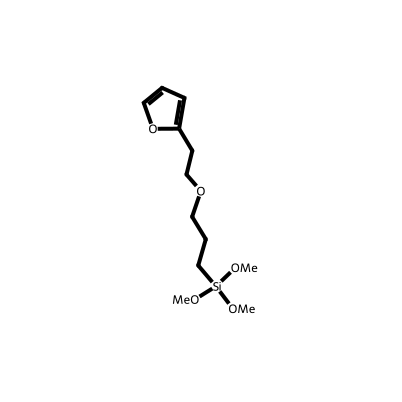 CO[Si](CCCOCCc1ccco1)(OC)OC